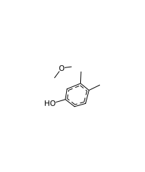 COC.Cc1ccc(O)cc1C